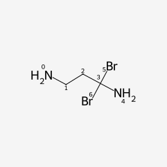 NCCC(N)(Br)Br